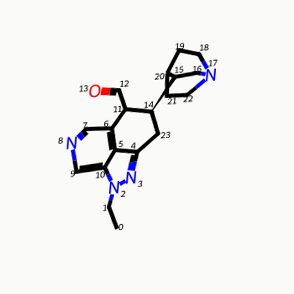 CCn1nc2c3c(cncc31)C(C=O)[C@@H](C1CN3CCC1CC3)C2